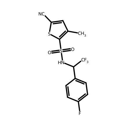 Cc1cc(C#N)sc1S(=O)(=O)NC(c1ccc(F)cc1)C(F)(F)F